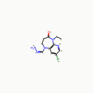 CCN1C(=O)CCN(/C=N\N)c2cc(Br)cnc21